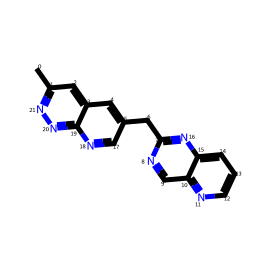 Cc1cc2cc(Cc3ncc4ncccc4n3)cnc2nn1